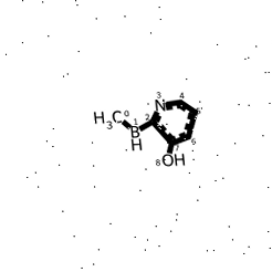 CBc1ncccc1O